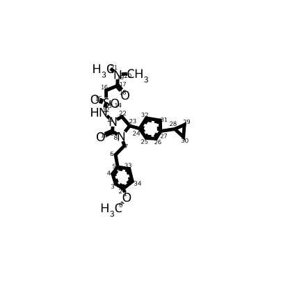 COc1ccc(CCN2C(=O)N(NS(=O)(=O)CC(=O)N(C)C)CC2c2ccc(C3CC3)cc2)cc1